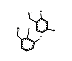 Fc1ccc(CBr)c(F)c1.Fc1cccc(CBr)c1F